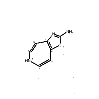 Nc1nc2c(s1)C=CNC=C2